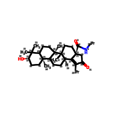 CC(C)NC(=O)[C@@]12CC[C@]3(C)[C@H](CCC4[C@@]5(C)CC[C@H](O)C(C)(C)C5CC[C@]43C)C1=C(C(C)C)C(=O)C2